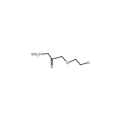 CCOC(=O)CC(=O)COCCCl